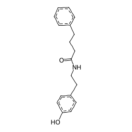 O=C(CCCc1ccccc1)NCCc1ccc(O)cc1